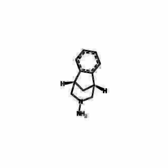 NN1C[C@H]2C[C@@H](C1)c1ccccc12